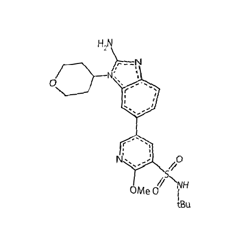 COc1ncc(-c2ccc3nc(N)n(C4CCOCC4)c3c2)cc1S(=O)(=O)NC(C)(C)C